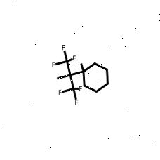 CC1(C(C)(C(F)(F)F)C(F)(F)F)CCCCC1